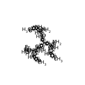 COc1ccc2[nH]c(C)c(CC(=O)N[C@@H](CCN)C(=O)Nc3ccc(C(c4ccc(NC(=O)[C@H](CCN)NC(=O)Cc5c(C)[nH]c6ccc(OC)cc56)cc4)c4ccc(NC(=O)[C@H](CCN)NC(=O)Cc5c(C)[nH]c6ccc(OC)cc56)cc4)cc3)c2c1.O=C(O)C(F)(F)F